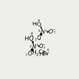 Br.O=[N+]([O-])O.O=[N+]([O-])O.[CaH2]